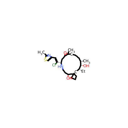 CC[C@@H]1CC2(CCC2)[C@@H](O)CCN[C@H](C(Cl)=Cc2csc(C)n2)CC2OC2(C)CCC[C@H](C)[C@@H]1O